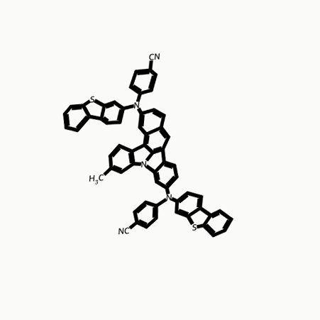 Cc1ccc2c3c4cc(N(c5ccc(C#N)cc5)c5ccc6c(c5)sc5ccccc56)ccc4cc4c5ccc(N(c6ccc(C#N)cc6)c6ccc7c(c6)sc6ccccc67)cc5n(c2c1)c43